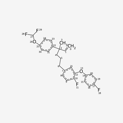 C=CC(C)(CCCc1ccc(F)c(Oc2ccc(F)cc2)c1)c1ccc(OC(F)F)cc1